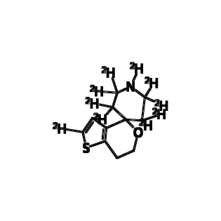 [2H]c1cc2c(s1)CCOC21C([2H])([2H])C([2H])([2H])N([2H])C([2H])([2H])C1([2H])[2H]